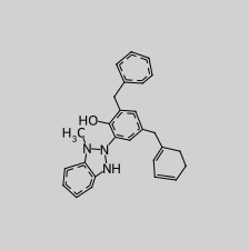 CN1c2ccccc2NN1c1cc(CC2=CC=CCC2)cc(Cc2ccccc2)c1O